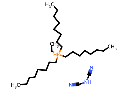 CCCCCCCC[PH](CC)(CCCCCCCC)CCCCCCCC.N#CNC#N